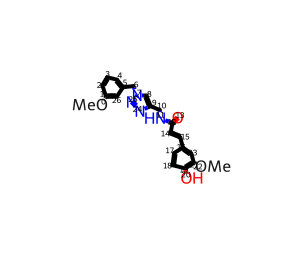 COc1cccc(Cn2cc(CNC(=O)/C=C/c3ccc(O)c(OC)c3)nn2)c1